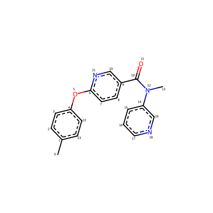 Cc1ccc(Oc2ccc(C(=O)N(C)c3cccnc3)cn2)cc1